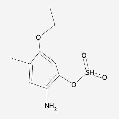 CCOc1cc(O[SH](=O)=O)c(N)cc1C